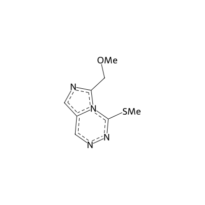 COCc1ncc2cnnc(SC)n12